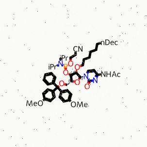 CCCCCCCCCCCCCCCCO[C@@H]1[C@H](OP(OCCC#N)N(C(C)C)C(C)C)[C@@H](COC(c2ccccc2)(c2ccc(OC)cc2)c2ccc(OC)cc2)O[C@H]1n1ccc(NC(C)=O)nc1=O